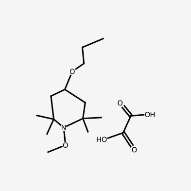 CCCOC1CC(C)(C)N(OC)C(C)(C)C1.O=C(O)C(=O)O